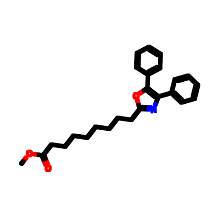 COC(=O)CCCCCCCCc1nc(-c2ccccc2)c(-c2ccccc2)o1